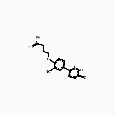 CC[C@@H](C)C(=N)CCCOc1ccc(-c2ccc(=O)[nH]n2)cc1C#N